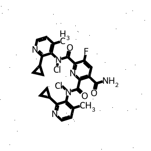 Cc1ccnc(C2CC2)c1N(Cl)C(=O)c1nc(C(=O)N(Cl)c2c(C)ccnc2C2CC2)c(C(N)=O)cc1F